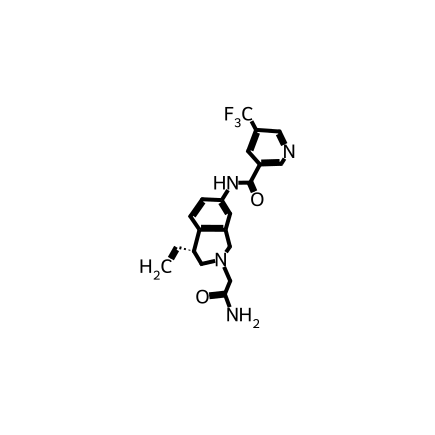 C=C[C@H]1CN(CC(N)=O)Cc2cc(NC(=O)c3cncc(C(F)(F)F)c3)ccc21